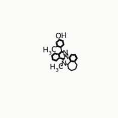 Cc1cc(O)ccc1-c1nnc(N(C)C2CCCCc3ccccc32)c2ccccc12